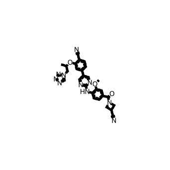 COc1cc(C(=O)N2CC(C#N)C2)ccc1Nc1ncc(-c2ccc(C#N)c(OC(C)Cn3cnnn3)c2)cn1